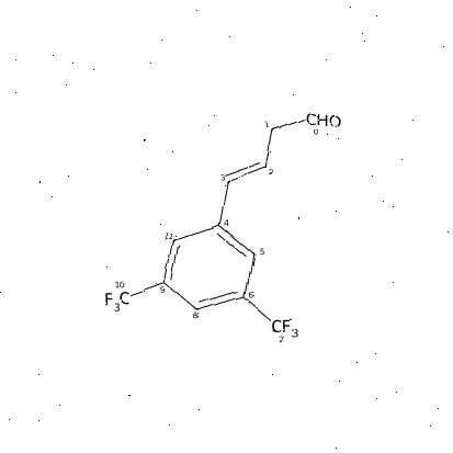 O=CCC=Cc1cc(C(F)(F)F)cc(C(F)(F)F)c1